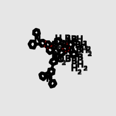 Bc1c(B)c(B)c2c(c1B)c1c(B)c(B)c(B)c(B)c1n2-c1cc2c3c(c1)N(c1c(-c4ccccc4)cccc1-c1ccccc1)c1cc(-c4ccc5c(c4)c4ccccc4n5-c4ccccc4)ccc1B3c1ccc(-c3ccc4c(c3)c3ccccc3n4-c3ccccc3)cc1O2